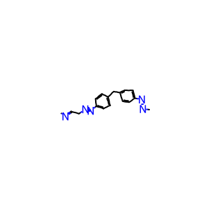 CN=CCN=Nc1ccc(Cc2ccc(N=NC)cc2)cc1